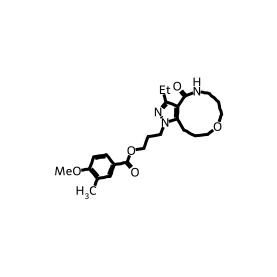 CCc1nn(CCCOC(=O)c2ccc(OC)c(C)c2)c2c1C(=O)NCCCOCCC2